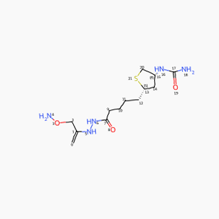 C=C(CON)NNC(=O)CCCC[C@H]1C[C@@H](NC(N)=O)CS1